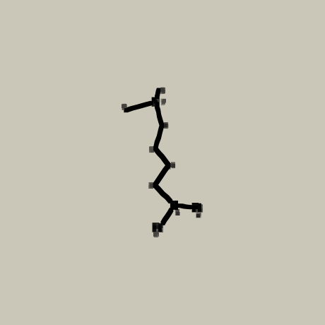 CCN(CC)C[CH]CCN(C)C